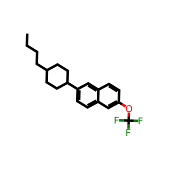 CCCCC1CCC(c2ccc3cc(OC(F)(F)F)ccc3c2)CC1